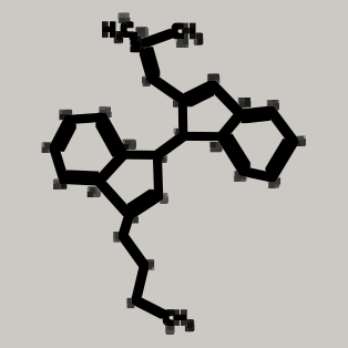 CCCCC1=CC(C2C(C=[Si](C)C)=Cc3ccccc32)c2ccccc21